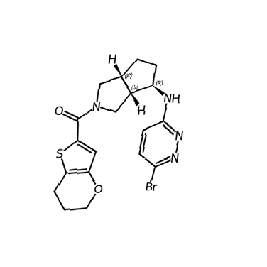 O=C(c1cc2c(s1)CCCO2)N1C[C@@H]2CC[C@@H](Nc3ccc(Br)nn3)[C@@H]2C1